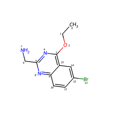 CCOc1nc(CN)nc2ccc(Br)cc12